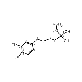 OC(O)(CCCCc1ccc(F)c(F)c1)O[SiH3]